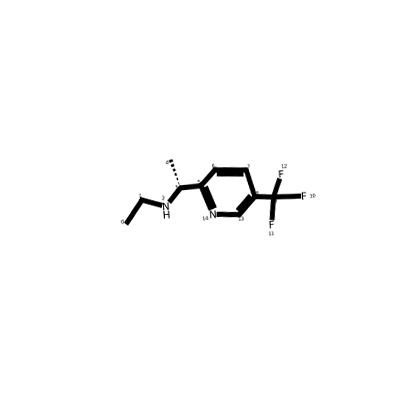 CCN[C@H](C)c1ccc(C(F)(F)F)cn1